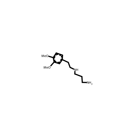 COc1ccc(CCNCCCN)cc1OC